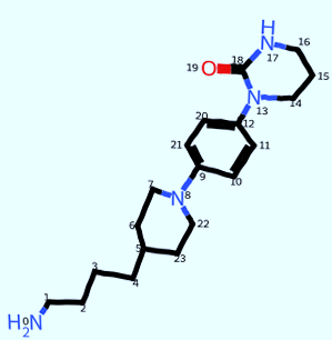 NCCCCC1CCN(c2ccc(N3CCCNC3=O)cc2)CC1